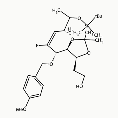 COc1ccc(CO[C@H](/C(F)=C\[C@@H](C)C(C)O[Si](C)(C)C(C)(C)C)[C@H]2OC(C)(C)O[C@H]2CCO)cc1